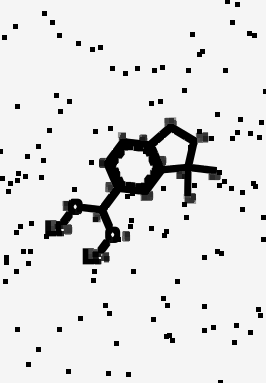 CCOC(OCC)c1ccc2c(c1)C(C)(C)CC2